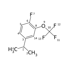 C[C](C)c1ccc(F)c(OC(F)(F)F)c1